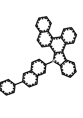 c1ccc(-c2ccc3cc(-n4c5ccccc5c5c6ccccc6c6c7ccccc7ccc6c54)ccc3c2)cc1